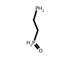 O=[PH2]CCP